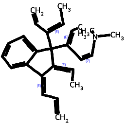 C=C/C=C1\C(=C/C)C(/C(C=C)=C/C)(C(/C=C\N(C)C)=C/C)c2ccccc21